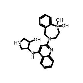 OC1CNCC1Nc1cc(N2CCS(O)(O)c3ccccc3C2)nc2ccccc12